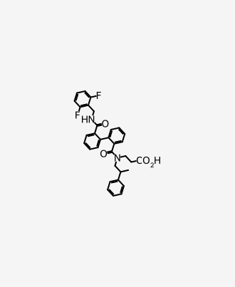 CC(CN(CCC(=O)O)C(=O)c1ccccc1-c1ccccc1C(=O)NCc1c(F)cccc1F)c1ccccc1